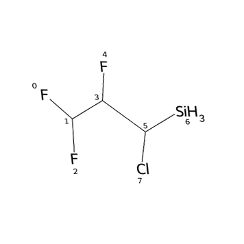 FC(F)C(F)C([SiH3])Cl